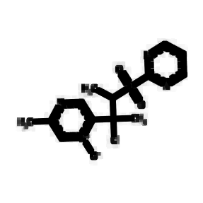 Cc1c[n+]([O-])c(C(C)(Cl)C(C)S(=O)(=O)c2ncccn2)cn1